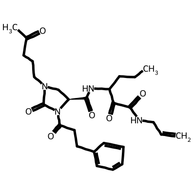 C=CCNC(=O)C(=O)C(CCC)NC(=O)[C@@H]1CN(CCCC(C)=O)C(=O)N1C(=O)CCc1ccccc1